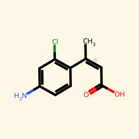 C/C(=C/C(=O)O)c1ccc(N)cc1Cl